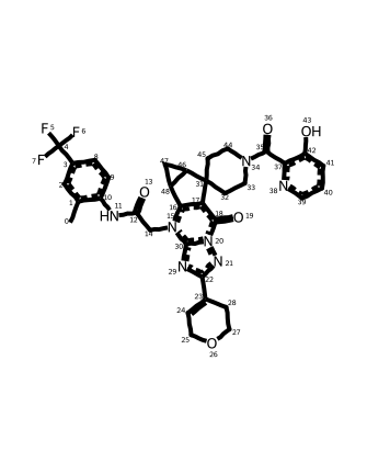 Cc1cc(C(F)(F)F)ccc1NC(=O)Cn1c2c(c(=O)n3nc(C4=CCOCC4)nc13)C1(CCN(C(=O)c3ncccc3O)CC1)C1CC21